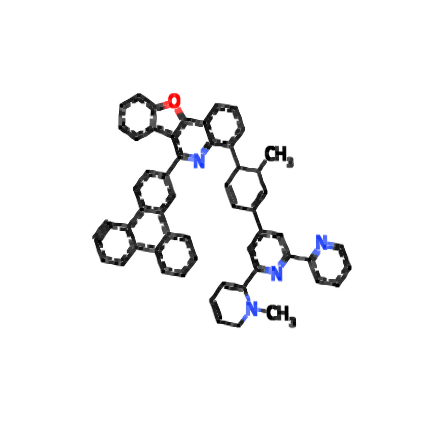 CC1C=C(c2cc(C3=CC=CCN3C)nc(-c3ccccn3)c2)C=CC1c1cccc2c1nc(-c1ccc3c4c#cccc4c4ccccc4c3c1)c1c3ccccc3oc21